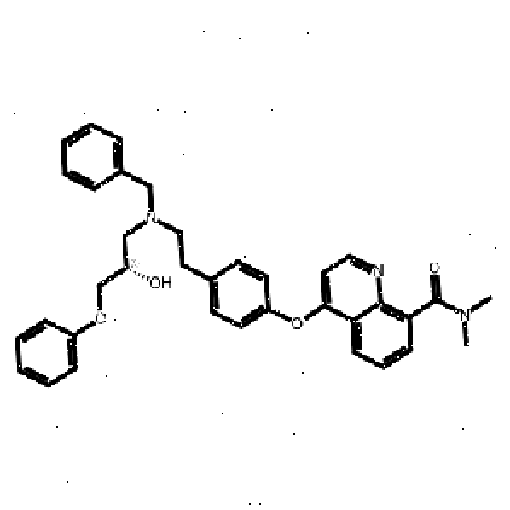 CN(C)C(=O)c1cccc2c(Oc3ccc(CCN(Cc4ccccc4)C[C@H](O)COc4ccccc4)cc3)ccnc12